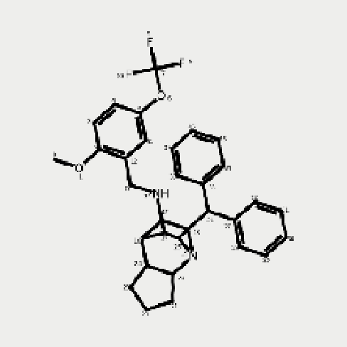 COc1ccc(OC(F)(F)F)cc1CNC1C2CCN(C3CCCC23)C1C(c1ccccc1)c1ccccc1